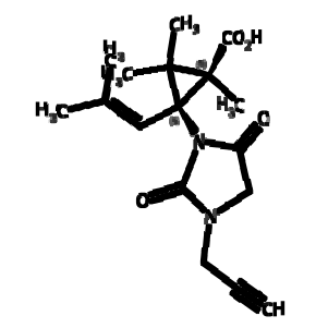 C#CCN1CC(=O)N([C@@]2(C=C(C)C)C(C)(C)[C@@]2(C)C(=O)O)C1=O